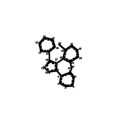 Cc1ccccc1-c1nnc(-c2ccccc2)n1-c1c(C)cccc1C